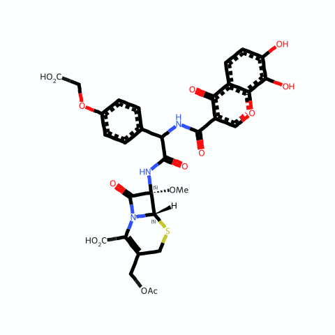 CO[C@@]1(NC(=O)C(NC(=O)c2coc3c(O)c(O)ccc3c2=O)c2ccc(OCC(=O)O)cc2)C(=O)N2C(C(=O)O)=C(COC(C)=O)CS[C@H]21